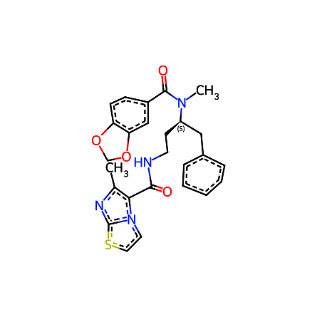 Cc1nc2sccn2c1C(=O)NCC[C@H](Cc1ccccc1)N(C)C(=O)c1ccc2c(c1)OCO2